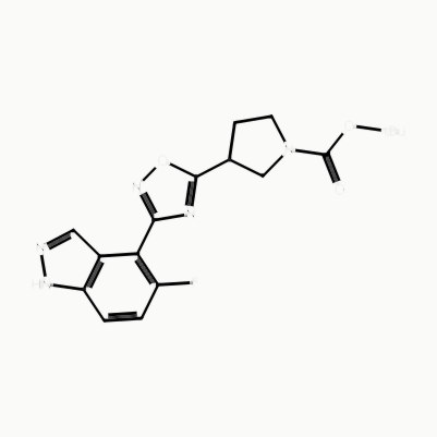 CC(C)(C)OC(=O)N1CCC(c2nc(-c3c(F)ccc4[nH]ncc34)no2)C1